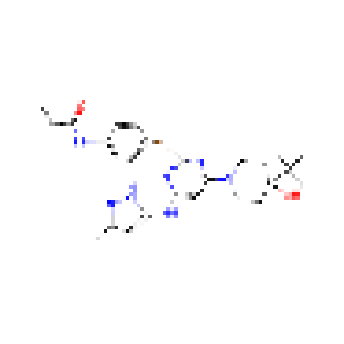 CCC(=O)Nc1ccc(Sc2nc(Nc3cc(C)n[nH]3)cc(N3CCC(O)(C(C)(C)C)CC3)n2)cc1